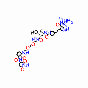 Nc1nc2[nH]cc(CCc3ccc(C(=O)N[C@@H](CCC(=O)NCCOCCOCCNc4cccc5c4C(=O)N(C4CCC(=O)NC4=O)C5=O)C(=O)O)cc3)c2c(=O)[nH]1